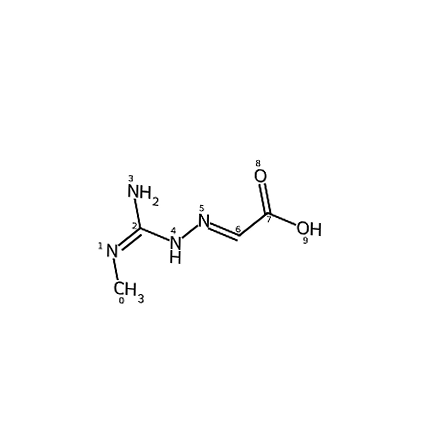 CN=C(N)NN=CC(=O)O